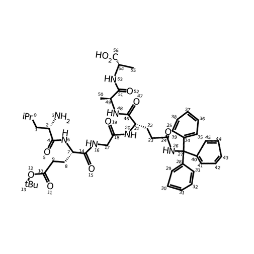 CC(C)C[C@H](N)C(=O)N[C@@H](CCC(=O)OC(C)(C)C)C(=O)NCC(=O)N[C@@H](CCC(=O)NC(c1ccccc1)(c1ccccc1)c1ccccc1)C(=O)N[C@@H](C)C(=O)N[C@@H](C)C(=O)O